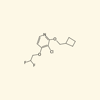 FC(F)COc1ccnc(OCC2CCC2)c1Cl